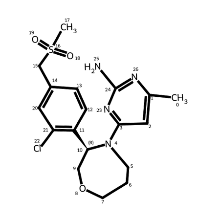 Cc1cc(N2CCCOC[C@H]2c2ccc(CS(C)(=O)=O)cc2Cl)nc(N)n1